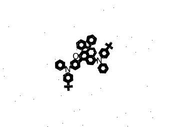 CC(C)(C)c1ccc(N(c2ccccc2)c2ccc3c(c2)oc2cc4c5c(c(N(c6ccccc6)c6ccc(C(C)(C)C)cc6)ccc5c23)CCC4(c2ccccc2)c2ccccc2)cc1